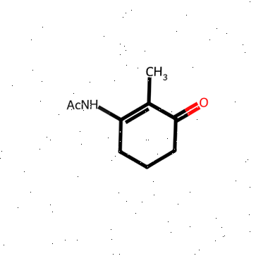 CC(=O)NC1=C(C)C(=O)CCC1